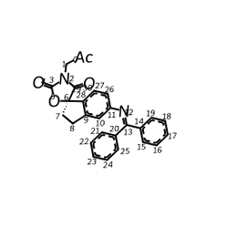 CC(=O)CN1C(=O)O[C@@]2(CCc3cc(N=C(c4ccccc4)c4ccccc4)ccc32)C1=O